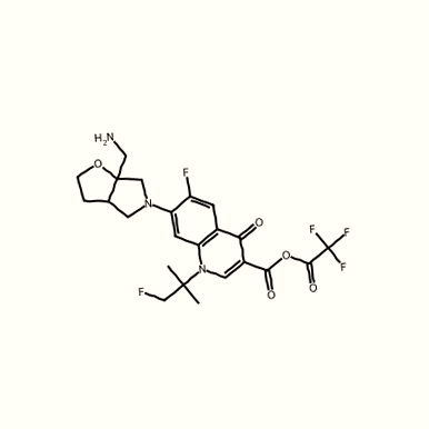 CC(C)(CF)n1cc(C(=O)OC(=O)C(F)(F)F)c(=O)c2cc(F)c(N3CC4CCOC4(CN)C3)cc21